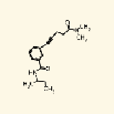 CCC(C)NC(=O)c1cccc(C#CCCC(=O)N(C)C)c1